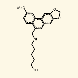 COc1ccc2c(CNCCCCCO)cc3cc4c(cc3c2c1)OCO4